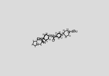 C[C@H]1CCCN1Cc1nc2cc(NC(=O)c3ccc(C4CCN(C(C)(C)C)CC4)cc3)ccc2[nH]1